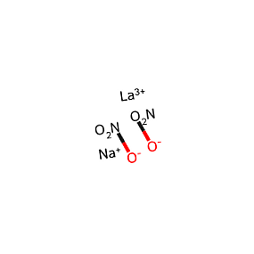 O=[N+]([O-])[O-].O=[N+]([O-])[O-].[La+3].[Na+]